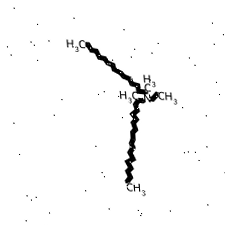 CCCCCCCCCCCCCCCCCCC(C)CN(CCC)C(C)CCCCCCCCCCCCCCC